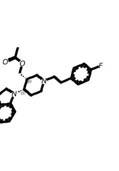 CC(=O)OC[C@@H]1CN(CCc2ccc(F)cc2)CC[C@@H]1N1CCc2ccccc21